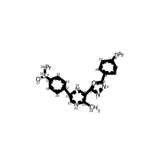 CCCc1ccc(-c2nnc(-c3nc(-c4ccc([S+]([O-])C(C)C)cc4)cnc3C)o2)cc1